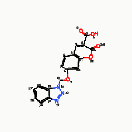 O=C(O)c1cc2ccc(OCn3nnc4ccccc43)cc2oc1=O